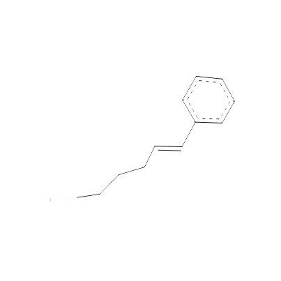 CCCCCCCCCC/C=C/c1[c]cccc1